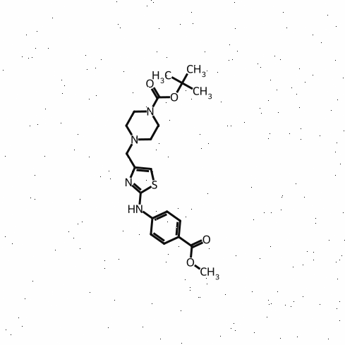 COC(=O)c1ccc(Nc2nc(CN3CCN(C(=O)OC(C)(C)C)CC3)cs2)cc1